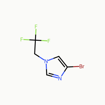 FC(F)(F)Cn1cnc(Br)c1